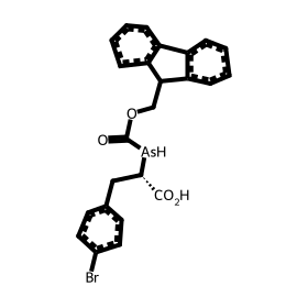 O=C(OCC1c2ccccc2-c2ccccc21)[AsH][C@@H](Cc1ccc(Br)cc1)C(=O)O